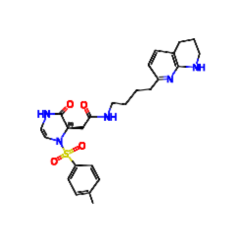 Cc1ccc(S(=O)(=O)N2C=CNC(=O)[C@H]2CC(=O)NCCCCc2ccc3c(n2)NCCC3)cc1